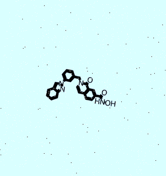 O=C(NO)c1ccc2ccn(Cc3cccc(-n4cc5ccccc5n4)c3)c(=O)c2c1